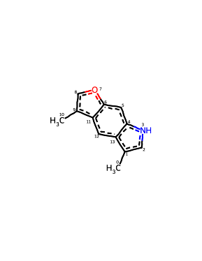 Cc1c[nH]c2cc3occ(C)c3cc12